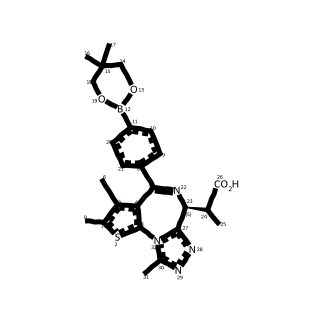 Cc1sc2c(c1C)C(c1ccc(B3OCC(C)(C)CO3)cc1)=N[C@@H](C(C)C(=O)O)c1nnc(C)n1-2